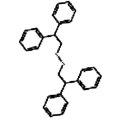 c1ccc(C(CSSCC(c2ccccc2)c2ccccc2)c2ccccc2)cc1